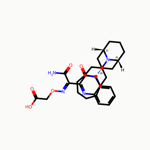 NC(=O)C(=NOCC(=O)O)c1nc2ccccc2n([C@H]2C[C@H]3CCC[C@@H](C2)N3C2CC3CCCCC(C3)C2)c1=O